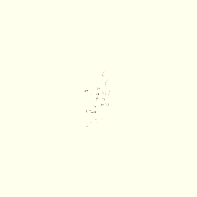 CC1C[C@H]2[C@@H]3C=CC4=CC(=O)CC[C@]4(C)[C@@]3(F)C(O)C[C@]2(C)[C@@]1(O)C(=O)CF